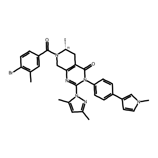 Cc1cc(C)n(-c2nc3c(c(=O)n2-c2ccc(-c4ccn(C)c4)cc2)C[C@@H](C)N(C(=O)c2ccc(Br)c(C)c2)C3)n1